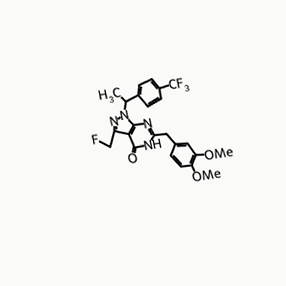 COc1ccc(Cc2nc3c(c(CF)nn3C(C)c3ccc(C(F)(F)F)cc3)c(=O)[nH]2)cc1OC